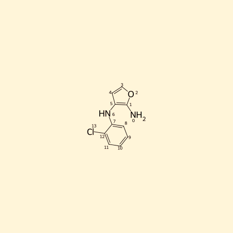 Nc1occc1Nc1ccccc1Cl